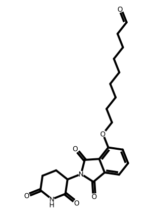 O=CCCCCCCCCOc1cccc2c1C(=O)N(C1CCC(=O)NC1=O)C2=O